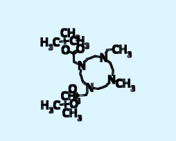 CCN1CCN(C)CCN(CC(=O)OC(C)(C)C)CCN(CC(=O)OC(C)(C)C)CC1